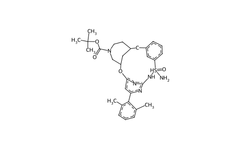 Cc1cccc(C)c1-c1cc2nc(n1)N[SH](N)(=O)c1cccc(c1)CC1CCN(C(=O)OC(C)(C)C)CC(C1)O2